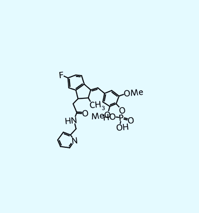 COc1cc(C=C2c3ccc(F)cc3C(CC(=O)NCc3ccccn3)C2C)cc(OC)c1OP(=O)(O)O